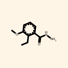 CCc1c(OC)cccc1C(=O)NN